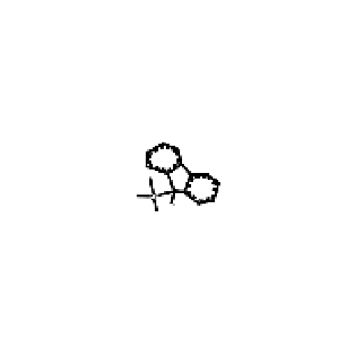 [CH2]C1([Si](C)(C)C)c2ccccc2-c2ccccc21